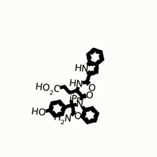 CC(C)C(C(N)=O)(c1ccc(O)cc1)N(C(=O)C(CCC(=O)O)NC(=O)c1cc2ccccc2[nH]1)c1ccccc1